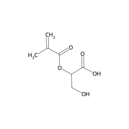 C=C(C)C(=O)OC(CO)C(=O)O